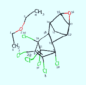 CCOCC.ClC1=C(Cl)C2(Cl)C3C4CC(C5OC45)C3C1(Cl)C2(Cl)Cl